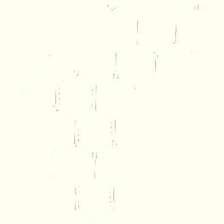 CC(C)(C)OC(=O)N1CCN(c2nc(S(C)(=O)=O)nc3c(=O)n(-c4c(Cl)cccc4Cl)ncc23)CC1CC#N